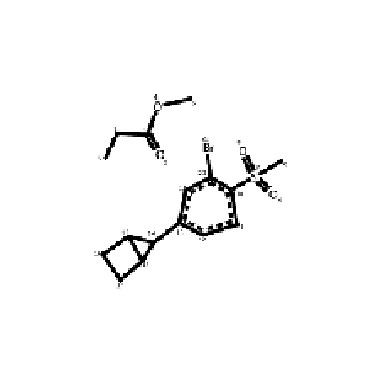 CCC(=O)OC.CS(=O)(=O)c1ccc(C2C3CCC32)cc1Br